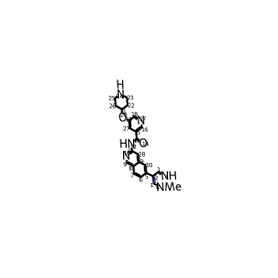 CN/C=C(\C=N)c1ccc2cnc(NC(=O)c3cncc(OC4CCNCC4)c3)cc2c1